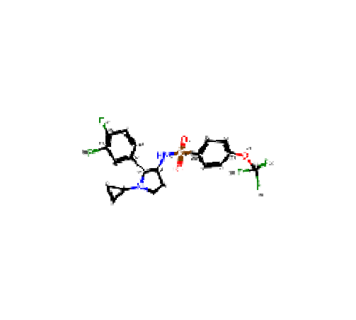 O=S(=O)(N[C@H]1CCN(C2CC2)[C@H]1c1ccc(F)c(F)c1)c1ccc(OC(F)(F)F)cc1